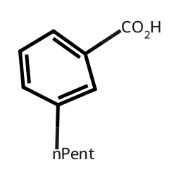 CCCCCc1cccc(C(=O)O)c1